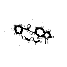 CCOC=O.O=C(Oc1ccc2cc[nH]c2c1)c1ccccc1